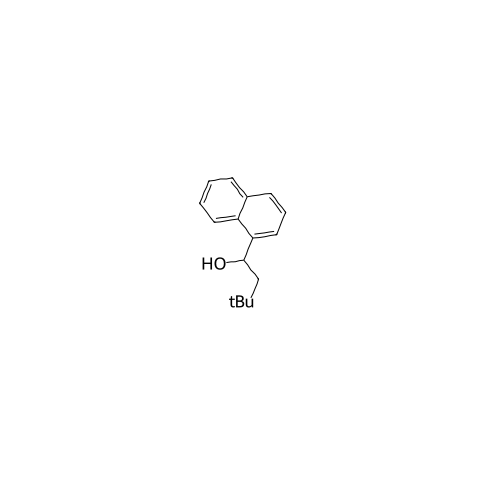 CC(C)(C)CC(O)c1cccc2ccccc12